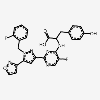 O=C(O)C(Cc1ccc(O)cc1)Nc1nc(-c2cc(-c3ccon3)n(Cc3ccccc3F)n2)ncc1F